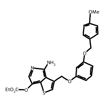 CCOC(=O)Oc1cnc(N)c2c(COc3cccc(OCc4ccc(OC)cc4)c3)csc12